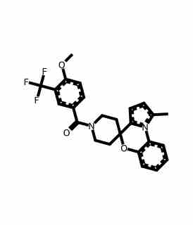 COc1ccc(C(=O)N2CCC3(CC2)Oc2ccccc2-n2c(C)ccc23)cc1C(F)(F)F